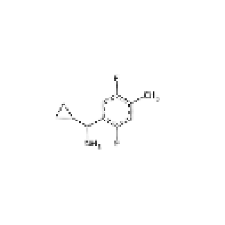 Cc1cc(F)c(C(N)C2CC2)cc1F